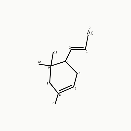 CC(=O)/C=C/C1CC=C(C)CC1(C)C